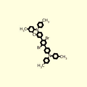 CC1=CC=C(N(c2ccc(C)cc2)c2ccc(-c3cc(Br)c(-c4ccc(N(c5ccc(C)cc5)c5ccc(C)cc5)cc4)cc3Br)cc2)C(C)C1